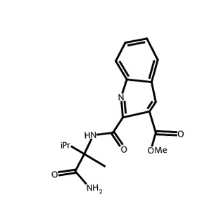 COC(=O)c1cc2ccccc2nc1C(=O)NC(C)(C(N)=O)C(C)C